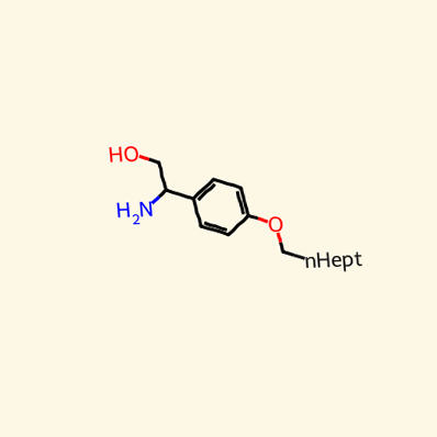 CCCCCCCCOc1ccc(C(N)CO)cc1